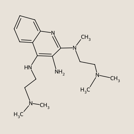 CN(C)CCNc1c(N)c(N(C)CCN(C)C)nc2ccccc12